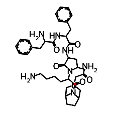 CC1CC(NC(=O)C(Cc2ccccc2)NC(=O)C(N)Cc2ccccc2)C(=O)N1C(CCCCN)C(=O)N1C2CCC1CN(CC(N)=O)C2